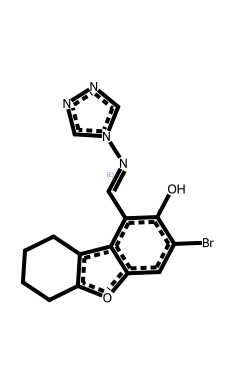 Oc1c(Br)cc2oc3c(c2c1/C=N/n1cnnc1)CCCC3